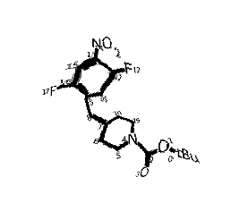 CC(C)(C)OC(=O)N1CCC(=Cc2cc(F)c([N+](=O)[O-])cc2F)CC1